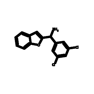 NC(c1cc(Cl)cc(Cl)c1)c1cc2ccccc2o1